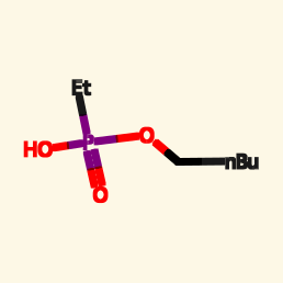 CCCCCOP(=O)(O)CC